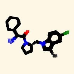 CC(=O)c1cn(C[C@@H]2CCCN2C(=O)[C@@H](N)C2CCCCC2)c2ccc(Cl)cc12